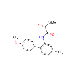 COC(=O)C(=O)Nc1cc(C(F)(F)F)ccc1-c1ccc(OC(F)(F)F)cc1